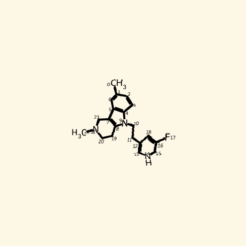 Cc1ccc2c(c1)c1c(n2CCC2=CNCC(F)=C2)CCN(C)C1